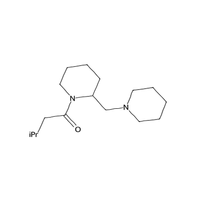 CC(C)CC(=O)N1CCCCC1CN1CCCCC1